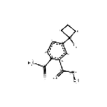 NC(=O)c1ccc(C2(F)CCC2)cc1C(=O)NO